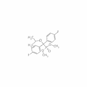 COP(=O)(OC)C(OC(C)C)(c1ccc(F)cc1)c1ccc(F)cc1